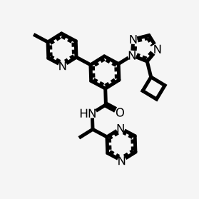 Cc1ccc(-c2cc(C(=O)NC(C)c3cnccn3)cc(-n3ncnc3C3CCC3)c2)nc1